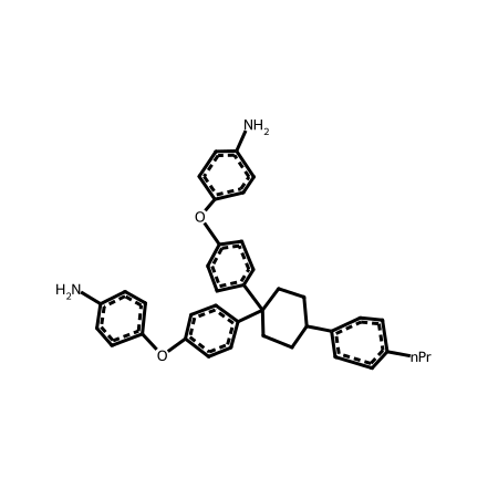 CCCc1ccc(C2CCC(c3ccc(Oc4ccc(N)cc4)cc3)(c3ccc(Oc4ccc(N)cc4)cc3)CC2)cc1